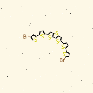 Brc1csc(-c2ccc(-c3cc4sc5cc(-c6ccc(-c7ccc(Br)s7)s6)sc5c4s3)s2)c1